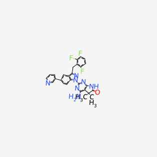 CC1(C)C(=O)Nc2nc(-n3nc(Cc4c(F)ccc(F)c4F)c4cc(-c5cccnc5)ccc43)nc(N)c21